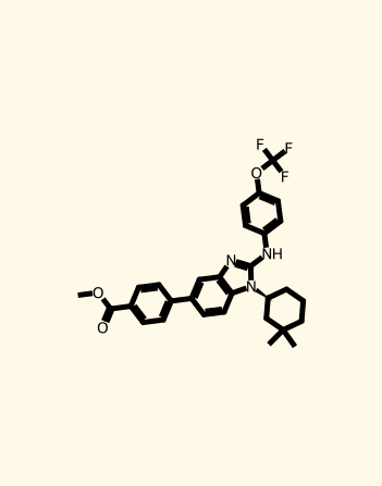 COC(=O)c1ccc(-c2ccc3c(c2)nc(Nc2ccc(OC(F)(F)F)cc2)n3[C@H]2CCCC(C)(C)C2)cc1